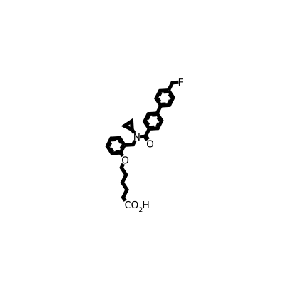 O=C(O)CCCCCOc1ccccc1CN(C(=O)c1ccc(-c2ccc(CF)cc2)cc1)C1CC1